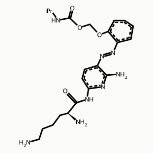 CC(C)NC(=O)OCOc1ccccc1/N=N/c1ccc(NC(=O)[C@@H](N)CCCCN)nc1N